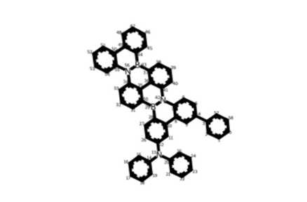 c1ccc(-c2ccc3c(c2)-c2cc(N(c4ccccc4)c4ccccc4)ccc2B2c4cccc5c4-c4c(cccc4N23)B2c3ccccc3-c3ccccc3N25)cc1